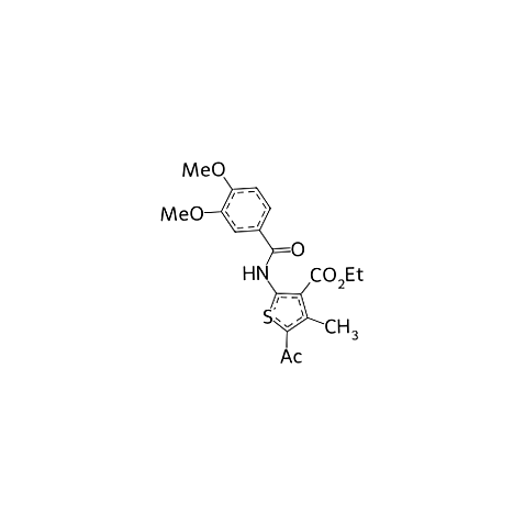 CCOC(=O)c1c(NC(=O)c2ccc(OC)c(OC)c2)sc(C(C)=O)c1C